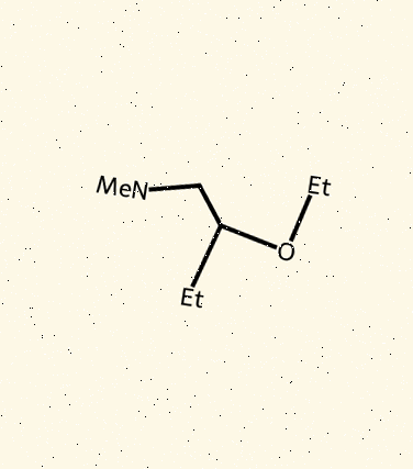 CCOC(CC)CNC